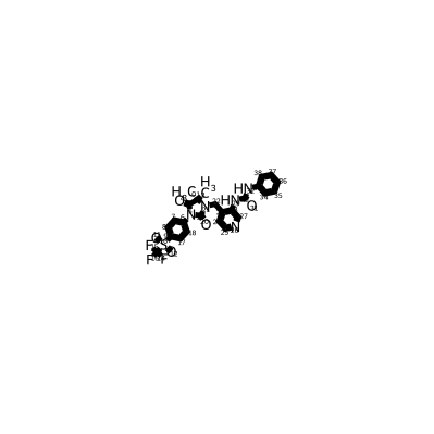 CC1(C)C(=O)N(c2ccc(S(=O)(=O)C(F)(F)F)cc2)C(=O)N1Cc1ccncc1NC(=O)Nc1ccccc1